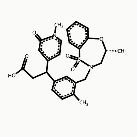 Cc1ccc(C(CC(=O)O)c2ccn(C)c(=O)c2)cc1CN1C[C@@H](C)Oc2ccccc2S1(=O)=O